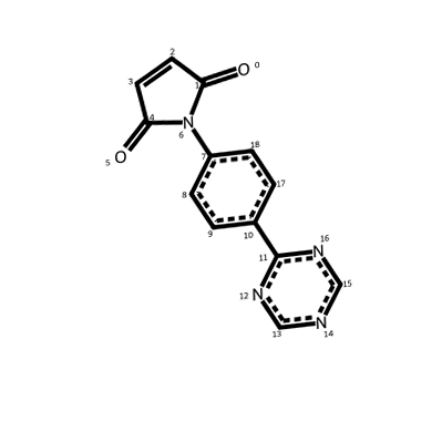 O=C1C=CC(=O)N1c1ccc(-c2ncncn2)cc1